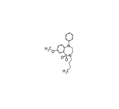 CCCCN1CCN(c2ccccc2)c2ccc(OC)cc2S1(=O)=O